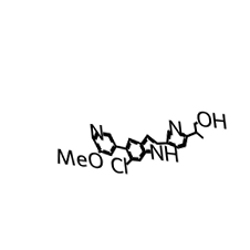 COc1cncc(-c2cc3cc(-c4ccc(C(C)CO)nc4)[nH]c3cc2Cl)c1